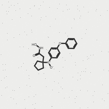 O=C(CC1([S+]([O-])c2ccc(Oc3ccccc3)cc2)CCCC1)NO